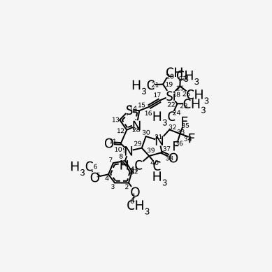 COc1cc(OC)cc(N(C(=O)c2csc(C#C[Si](C(C)C)(C(C)C)C(C)C)n2)C2CN(CC(F)(F)F)C(=O)C2(C)C)c1